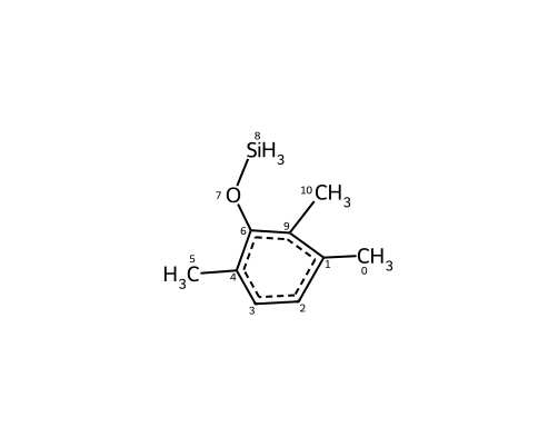 Cc1ccc(C)c(O[SiH3])c1C